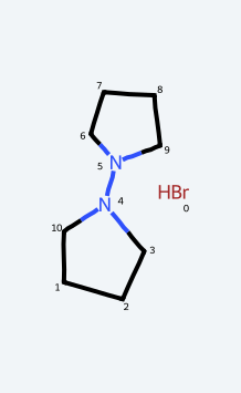 Br.C1CCN(N2CCCC2)C1